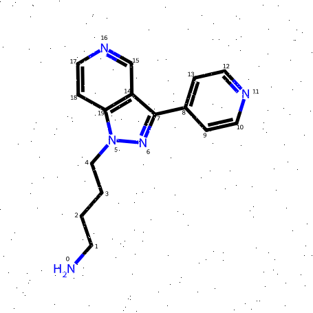 NCCCCn1nc(-c2ccncc2)c2cnccc21